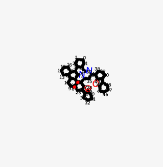 c1ccc(-c2cc3ccccc3c3ccccc23)c(-c2nc(-c3cccc4c3oc3ccccc34)cc(-c3cccc4c3oc3ccccc34)n2)c1